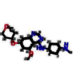 CNc1ccc(Nc2ncnc3cc(OC4CCOCC4)cc(OC)c23)cc1